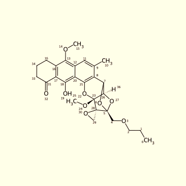 CCCOC[C@@]12OC3c4c(C)cc5c(OC)c6c(c(O)c5c4O[C@](OC)([C@@H]3O1)[C@@]21CO1)C(=O)CCC6